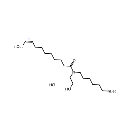 CCCCCCCC/C=C\CCCCCCCC(=O)N(CCO)CCCCCCCCCCCCCCCC.Cl